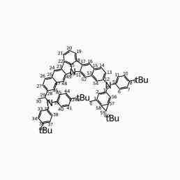 Cc1cc(N(c2ccc(C(C)(C)C)cc2)c2ccc3cc4c5cccc6c7cc8ccc(C(C)N(c9ccc(C(C)(C)C)cc9)c9ccc(C(C)(C)C)cc9)cc8cc7n(c4cc3c2)c65)cc2c1[C@H]2C(C)(C)C